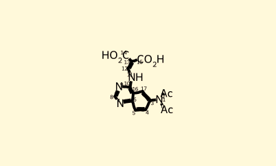 CC(=O)N(C(C)=O)c1ccc2ncnc(NC=C(C(=O)O)C(=O)O)c2c1